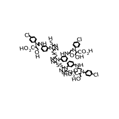 O=C(CN(c1ccc(Cl)cc1)C(CO)C(=O)O)Nc1cccc(-n2c(S)nnc2SSc2nnc(SSc3nnc(S)n3-c3cccc(NN(c4ccc(Cl)cc4)C(CO)C(=O)O)c3)n2-c2cccc(NC(=O)CN(c3ccc(Cl)cc3)C(CO)C(=O)O)c2)c1